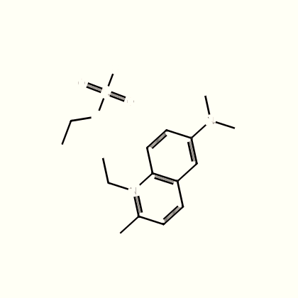 CCOS(=O)(=O)[O-].CC[n+]1c(C)ccc2cc(N(C)C)ccc21